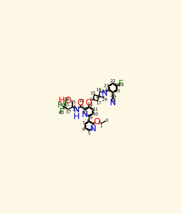 CCOc1ncccc1-c1ccc(OC2CC3(C2)CN(c2ccc(F)cc2C#N)C3)c(C(=O)NC(CO)CC(F)(F)F)n1